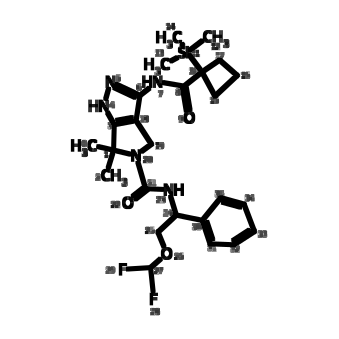 CC1(C)c2[nH]nc(NC(=O)C3([Si](C)(C)C)CCC3)c2CN1C(=O)NC(COC(F)F)c1ccccc1